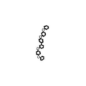 c1ccc(Oc2ccc(Oc3cccc(-c4ccc(Oc5cccc(Oc6ccccc6)c5)cc4)c3)cc2)cc1